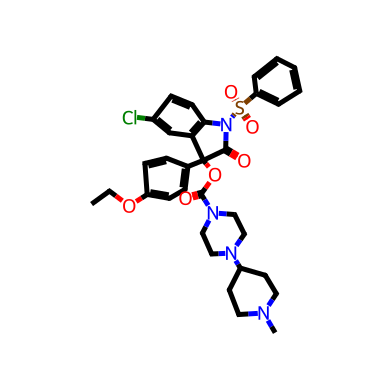 CCOc1ccc(C2(OC(=O)N3CCN(C4CCN(C)CC4)CC3)C(=O)N(S(=O)(=O)c3ccccc3)c3ccc(Cl)cc32)cc1